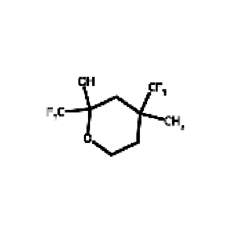 CC1(C(F)(F)F)CCOC(O)(C(F)(F)F)C1